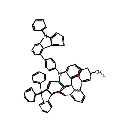 CC1C=C(c2cccc3cccc(-c4ccccc4N(c4ccc(-c5cccc6c5c5ccccc5n6-c5ccccc5)cc4)c4ccc5c(c4)C(c4ccccc4)(c4ccccc4)c4ccccc4-5)c23)C=CC1